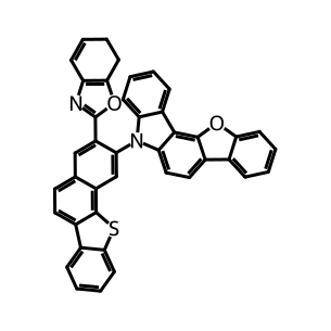 C1=Cc2nc(-c3cc4ccc5c6ccccc6sc5c4cc3-n3c4ccccc4c4c5oc6ccccc6c5ccc43)oc2CC1